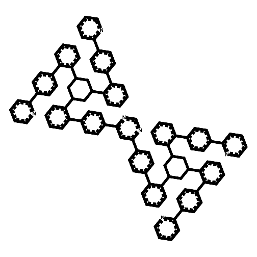 c1ccc(-c2ccc(-c3ccccc3C3CC(c4ccccc4-c4ccc(-c5ccccn5)cc4)CC(c4ccccc4-c4ccc(-c5cc(-c6ccc(-c7ccccc7C7CC(c8ccccc8-c8ccc(-c9ccccn9)cc8)CC(c8ccccc8-c8ccc(-c9ccccn9)cc8)C7)cc6)ncn5)cc4)C3)cc2)nc1